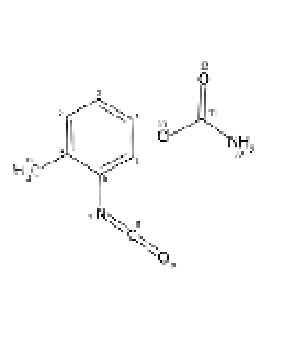 Cc1ccccc1N=C=O.NC(=O)Cl